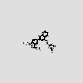 COc1ccc(-c2cc(OC[C@H]3CNC(=O)O3)c3cccnc3c2)cc1C(C)O